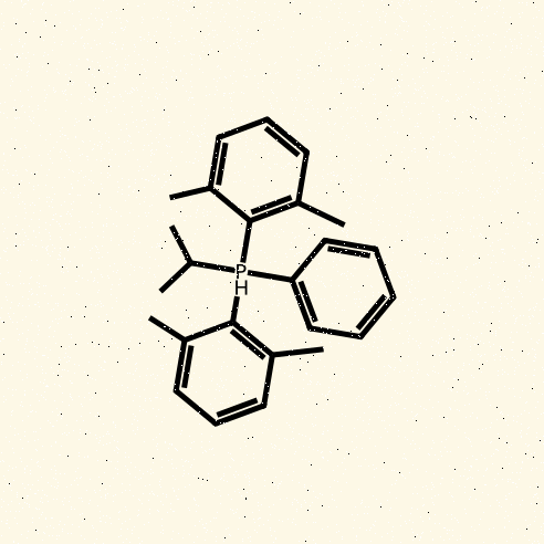 Cc1cccc(C)c1[PH](c1ccccc1)(c1c(C)cccc1C)C(C)C